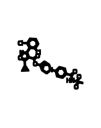 CS(=O)(=O)NC(=O)c1ccc(N2CC3CC2CC3OC(=O)c2c(-c3c(Cl)cccc3Cl)noc2C2CC2)cc1